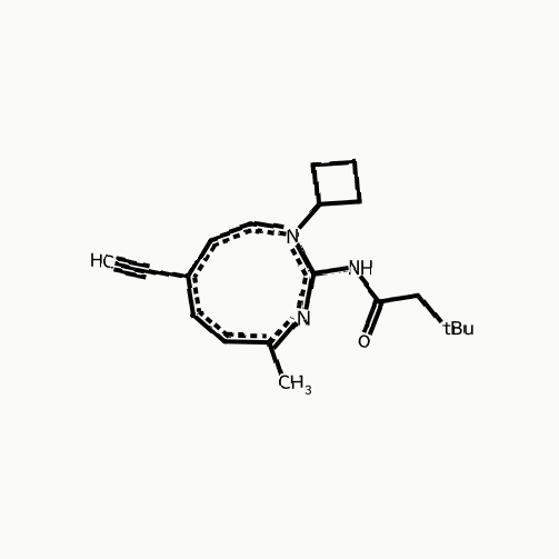 C#Cc1ccc(C)nc(NC(=O)CC(C)(C)C)n(C2CCC2)cc1